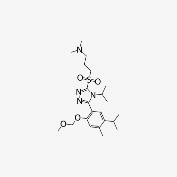 COCOc1cc(C)c(C(C)C)cc1-c1nnc(S(=O)(=O)CCCN(C)C)n1C(C)C